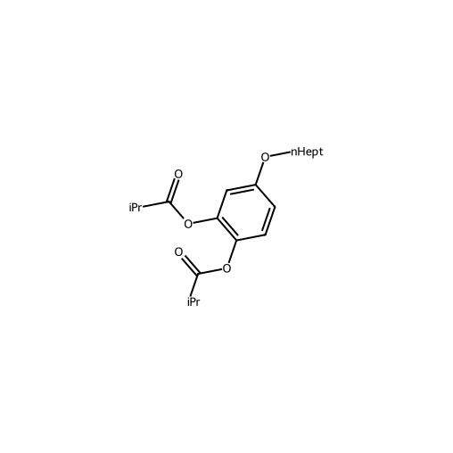 CCCCCCCOc1ccc(OC(=O)C(C)C)c(OC(=O)C(C)C)c1